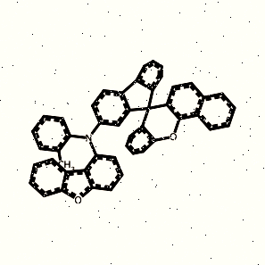 Cc1ccccc1N(c1ccc2c(c1)C1(c3ccccc3Oc3c1ccc1ccccc31)c1ccccc1-2)c1cccc2oc3ccccc3c12